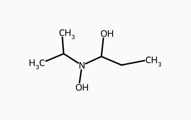 CCC(O)N(O)C(C)C